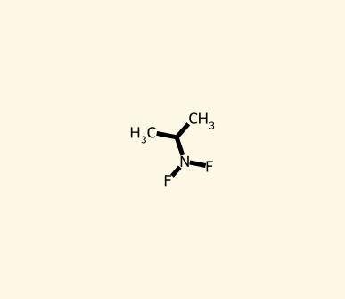 CC(C)N(F)F